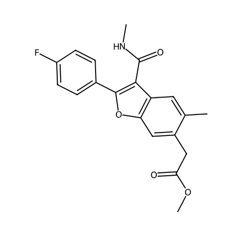 CNC(=O)c1c(-c2ccc(F)cc2)oc2cc(CC(=O)OC)c(C)cc12